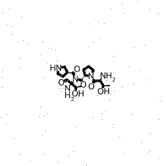 C[C@@H](O)[C@H](N)C(=O)N1CCC[C@H]1C(=O)N(C(=O)[C@H]1CCNC1)[C@](N)(C=O)[C@@H](C)O